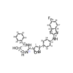 O=C(O)[C@@H](N/C(=N\O)c1cc(-c2ccc(Nc3nc4ccc(F)cc4s3)cc2)no1)c1ccccc1